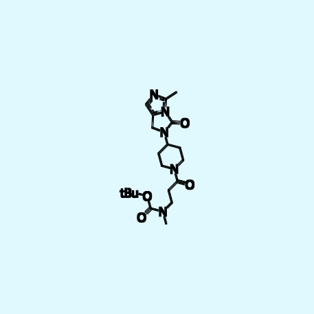 Cc1ncc2n1C(=O)N(C1CCN(C(=O)CCN(C)C(=O)OC(C)(C)C)CC1)C2